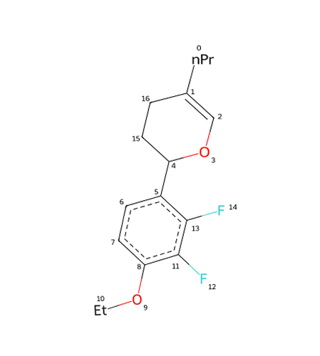 CCCC1=COC(c2ccc(OCC)c(F)c2F)CC1